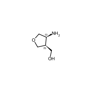 N[C@@H]1COC[C@@H]1CO